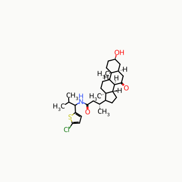 CC(C)C(NC(=O)C[C@@H](C)C1CC[C@H]2[C@@H]3C(=O)C[C@@H]4C[C@H](O)CC[C@]4(C)[C@H]3CC[C@]12C)c1ccc(Cl)s1